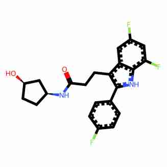 O=C(CCc1c(-c2ccc(F)cc2)[nH]c2c(F)cc(F)cc12)N[C@H]1CC[C@@H](O)C1